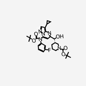 CC(C)(C)OC(=O)N1CCC[C@H](C(O)c2cc(N(C(=O)OC(C)(C)C)c3cccc(F)c3)n3ncc(C4CC4)c3n2)C1